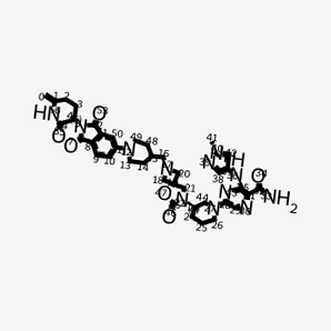 C=C1CC[C@H](N2C(=O)c3ccc(N4CCC(CN5CC6(C5)CN([C@@H]5CCCN(c7cnc(C(N)=O)c(Nc8cnn(C)c8)n7)C5)C(=O)O6)CC4)cc3C2=O)C(=O)N1